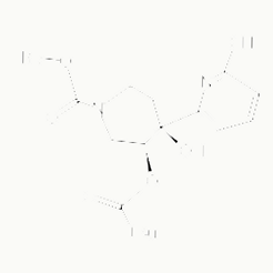 Cc1cccc([C@@]2(O)CCN(C(=O)OC(C)(C)C)C[C@@H]2OC(=O)C(C)(C)C)n1